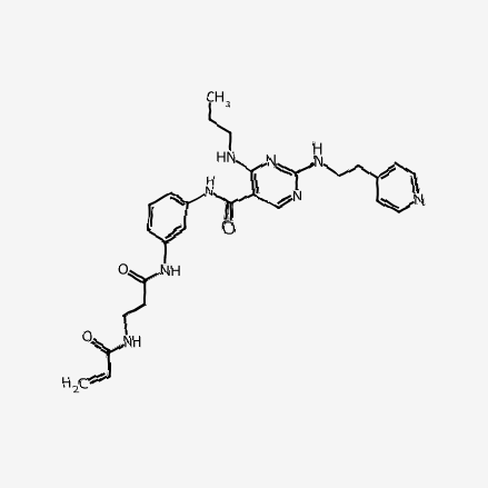 C=CC(=O)NCCC(=O)Nc1cccc(NC(=O)c2cnc(NCCc3ccncc3)nc2NCCC)c1